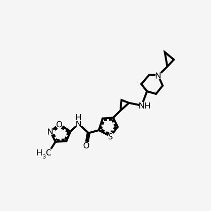 Cc1cc(NC(=O)c2cc(C3CC3NC3CCN(C4CC4)CC3)cs2)on1